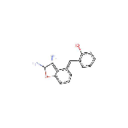 NC1=c2c(cccc2=Cc2ccccc2O)OC1N